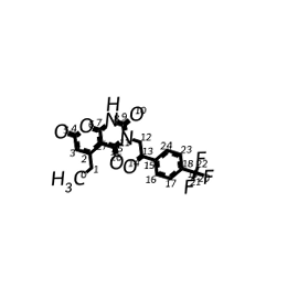 CCc1cc(=O)oc2[nH]c(=O)n(CC(=O)c3ccc(C(F)(F)F)cc3)c(=O)c12